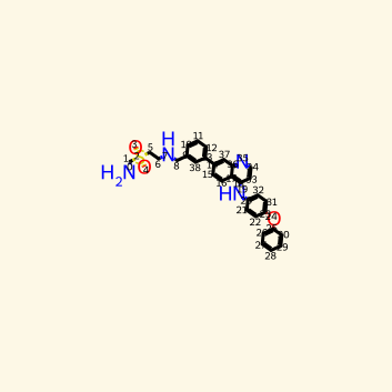 NCS(=O)(=O)CCNCc1cccc(-c2ccc3c(Nc4ccc(Oc5ccccc5)cc4)ccnc3c2)c1